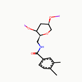 Cc1ccc(C(=O)NC[C@@H]2OC[C@H](OI)CC2OI)cc1C